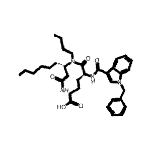 CCCCCC[C@@H](CC(N)=O)N(CCCC)C(=O)[C@H](CCCC(=O)O)NC(=O)c1cn(Cc2ccccc2)c2ccccc12